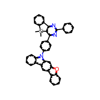 C[Si]1(C)c2ccccc2-c2nc(-c3ccccc3)nc(-c3ccc(-n4c5ccccc5c5cc6c(cc54)oc4ccccc46)cc3)c21